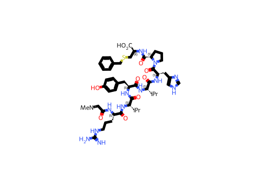 CNCC(=O)N[C@@H](CCCNC(=N)N)C(=O)N[C@H](C(=O)N[C@@H](Cc1ccc(O)cc1)C(=O)N[C@H](C(=O)N[C@@H](Cc1c[nH]cn1)C(=O)N1CCC[C@H]1C(=O)N[C@@H](CSCc1ccccc1)C(=O)O)C(C)C)C(C)C